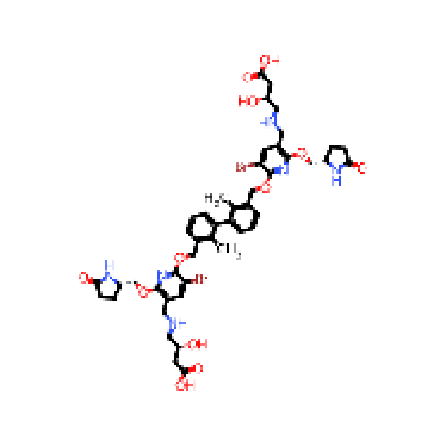 Cc1c(COc2nc(OC[C@@H]3CCC(=O)N3)c(CNC[C@@H](O)CC(=O)O)cc2Br)cccc1-c1cccc(COc2nc(OC[C@@H]3CCC(=O)N3)c(CNC[C@@H](O)CC(=O)O)cc2Br)c1C